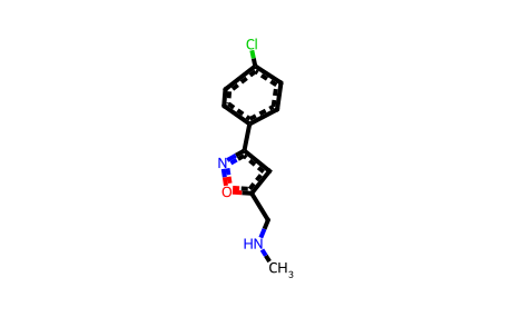 CNCc1cc(-c2ccc(Cl)cc2)no1